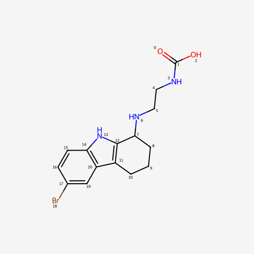 O=C(O)NCCNC1CCCc2c1[nH]c1ccc(Br)cc21